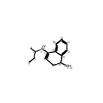 CCC(C)NC1=CCC(N)c2ccccc21